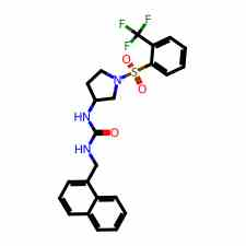 O=C(NCc1cccc2ccccc12)NC1CCN(S(=O)(=O)c2ccccc2C(F)(F)F)C1